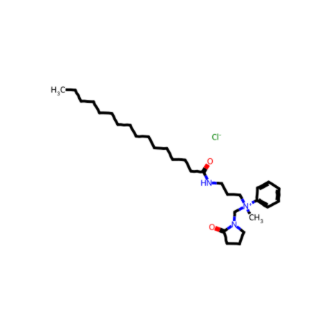 CCCCCCCCCCCCCCCC(=O)NCCC[N+](C)(CN1CCCC1=O)c1ccccc1.[Cl-]